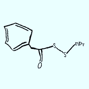 CCCSSC(=O)c1ccccc1